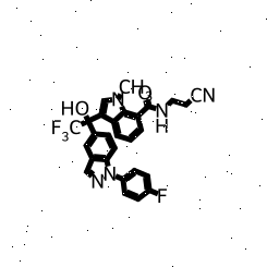 Cn1cc(C(O)(c2ccc3c(cnn3-c3ccc(F)cc3)c2)C(F)(F)F)c2cccc(C(=O)NCCC#N)c21